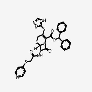 O=C(CSc1ccncc1)N[C@@H]1C(=O)N2C(C(=O)OC(c3ccccc3)c3ccccc3)=C(Sc3nnc[nH]3)CS[C@@H]12